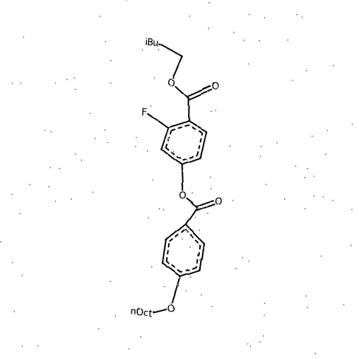 CCCCCCCCOc1ccc(C(=O)Oc2ccc(C(=O)OCC(C)CC)c(F)c2)cc1